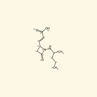 CCCC(C)NN1C(=O)CC1C=CC(=O)O